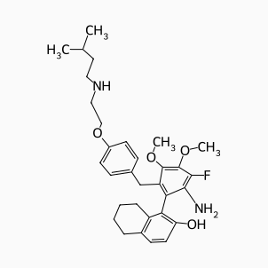 COc1c(F)c(N)c(-c2c(O)ccc3c2CCCC3)c(Cc2ccc(OCCNCCC(C)C)cc2)c1OC